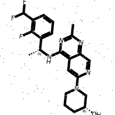 Cc1nc(N[C@H](C)c2cccc(C(F)F)c2F)c2cc(N3CCC[C@@H](O)C3)ncc2n1